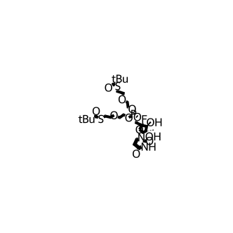 CC(C)(C)C(=O)SCCOCCOP(OCCOCCSC(=O)C(C)(C)C)OC[C@@]1(F)O[C@@H](n2ccc(=O)[nH]c2=O)[C@](C)(O)[C@@H]1O